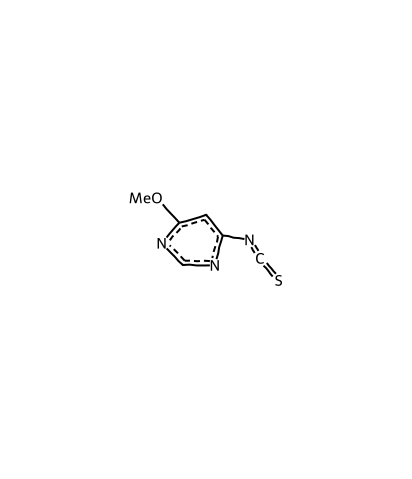 COc1cc(N=C=S)ncn1